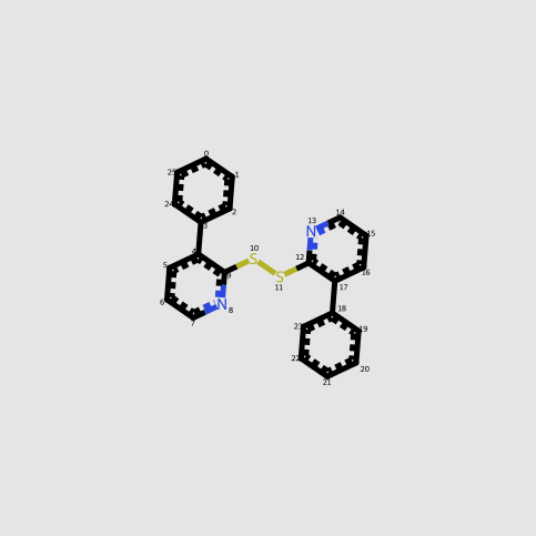 c1ccc(-c2cccnc2SSc2ncccc2-c2ccccc2)cc1